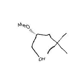 CO[C@@H](CO)CC(C)(C)C